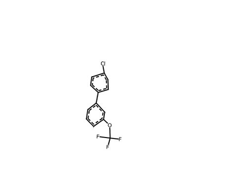 FC(F)(F)Oc1[c]ccc(-c2ccc(Cl)cc2)c1